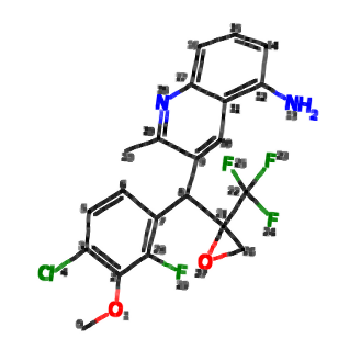 COc1c(Cl)ccc(C(c2cc3c(N)cccc3nc2C)C2(C(F)(F)F)CO2)c1F